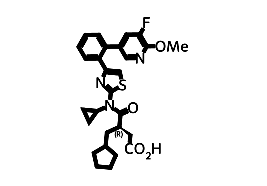 COc1ncc(-c2ccccc2-c2csc(N(C(=O)[C@@H](CC(=O)O)CC3CCCC3)C3CC3)n2)cc1F